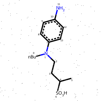 CCCCN(CCC(C)S(=O)(=O)O)c1ccc(N)cc1